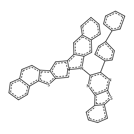 c1ccc(-c2ccc(-c3nc4sc5ccccc5c4nc3-n3c4cc5ccccc5cc4c4cc5c(cc43)sc3c4ccccc4ccc53)cc2)cc1